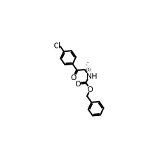 C[C@H](NC(=O)OCc1ccccc1)C(=O)c1ccc(Cl)cc1